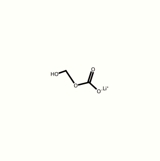 O=C([O-])OCO.[Li+]